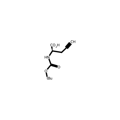 C#CC[C@@H](NC(=O)OC(C)(C)C)C(=O)O